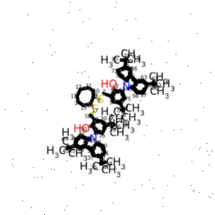 CC(C)(C)c1cc(CS[C@H]2CCCCCC[C@@H]2SCc2cc(C(C)(C)C)cc(-n3c4ccc(C(C)(C)C)cc4c4cc(C(C)(C)C)ccc43)c2O)c(O)c(-n2c3ccc(C(C)(C)C)cc3c3cc(C(C)(C)C)ccc32)c1